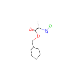 C[C@H](NCl)C(=O)OCC1CCCCC1